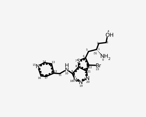 N[C@@H](CCO)Cc1sc2c(NCc3ccncc3)nnnc2c1Br